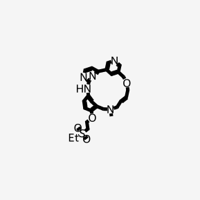 CCS(=O)(=O)CCOc1ccc2cc1CN(C)C/C=C/COCc1cncc(c1)-c1ccnc(n1)N2